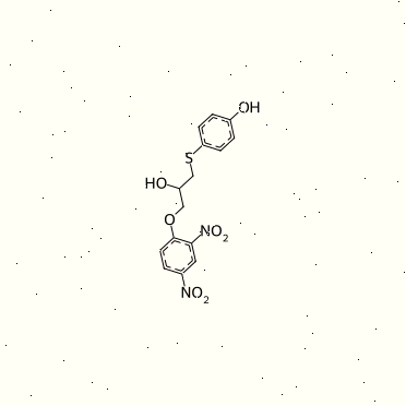 O=[N+]([O-])c1ccc(OCC(O)CSc2ccc(O)cc2)c([N+](=O)[O-])c1